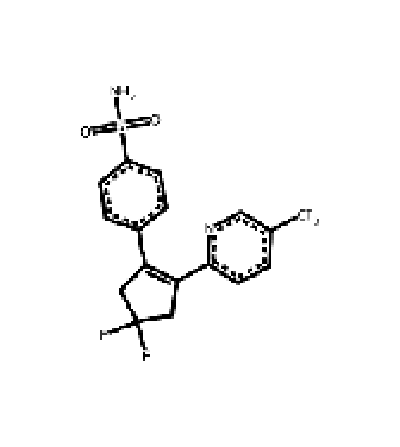 NS(=O)(=O)c1ccc(C2=C(c3ccc(C(F)(F)F)cn3)CC(F)(F)C2)cc1